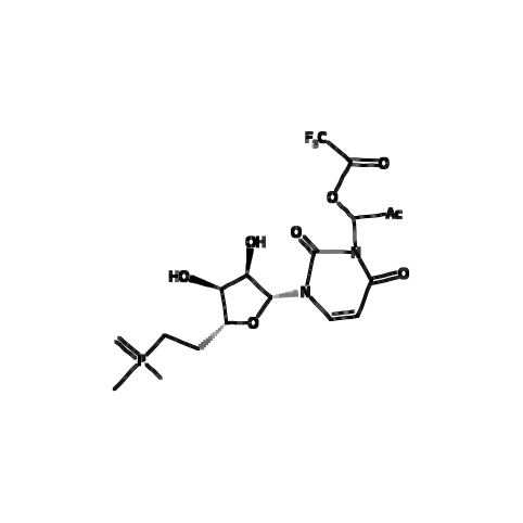 C=P(C)(C)CC[C@H]1O[C@@H](n2ccc(=O)n(C(OC(=O)C(F)(F)F)C(C)=O)c2=O)[C@H](O)[C@@H]1O